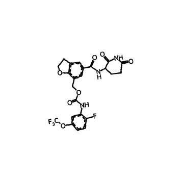 O=C1CCC(NC(=O)c2cc3c(c(COC(=O)Nc4cc(OC(F)(F)F)ccc4F)c2)OCC3)C(=O)N1